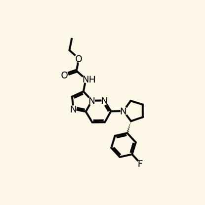 CCOC(=O)Nc1cnc2ccc(N3CCC[C@@H]3c3cccc(F)c3)nn12